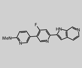 CNc1ccc(-c2cnc(-c3cc4ccncc4[nH]3)cc2F)cn1